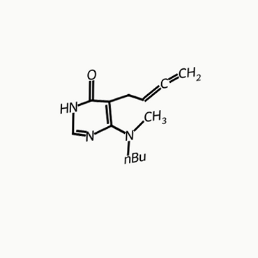 C=C=CCc1c(N(C)CCCC)nc[nH]c1=O